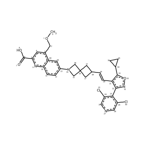 COCc1cc(C(=O)O)nc2ccc(N3CC4(CC(C=Cc5c(-c6c(Cl)cncc6Cl)noc5C5CC5)C4)C3)cc12